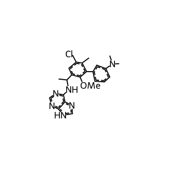 COc1c(C(C)Nc2ncnc3[nH]cnc23)cc(Cl)c(C)c1-c1cccc(N(C)C)c1